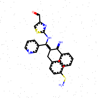 N=C(/C(Cc1ccc(SN)cc1)=C(\Nc1nc(C=O)cs1)c1cccnc1)c1ccccc1